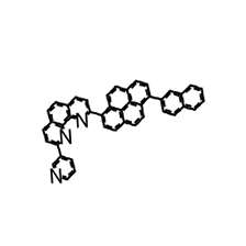 c1cncc(-c2ccc3ccc4ccc(-c5ccc6ccc7c(-c8ccc9ccccc9c8)ccc8ccc5c6c87)nc4c3n2)c1